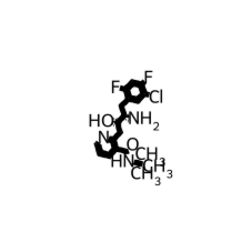 CC(C)(C)NC(=O)c1cccnc1C[C@H](O)[C@H](N)Cc1cc(Cl)c(F)cc1F